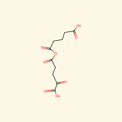 O=C(O)CCCC(=O)OC(=O)CCC(=O)C(=O)O